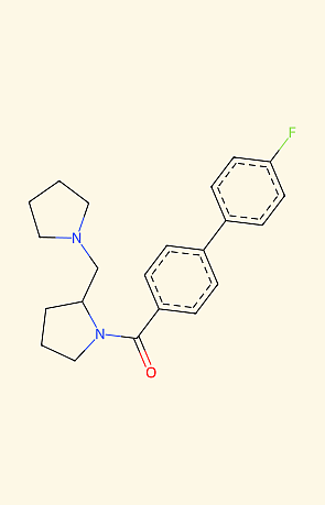 O=C(c1ccc(-c2ccc(F)cc2)cc1)N1CCCC1CN1CCCC1